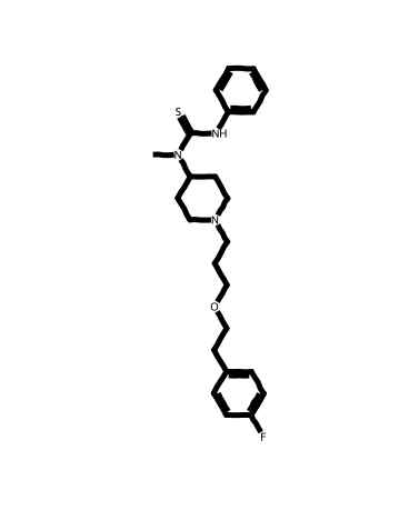 CN(C(=S)Nc1ccccc1)C1CCN(CCCOCCc2ccc(F)cc2)CC1